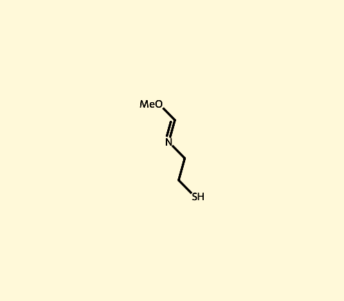 COC=NCCS